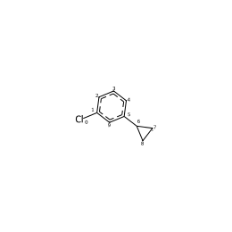 Clc1cccc(C2[CH]C2)c1